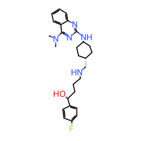 CN(C)c1nc(N[C@H]2CC[C@@H](CNCCCC(O)c3ccc(F)cc3)CC2)nc2ccccc12